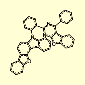 c1ccc(-c2nc(-c3ccccc3-n3c4ccccc4c4c5oc6ccccc6c5ccc43)nc3oc4ccccc4c23)cc1